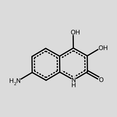 Nc1ccc2c(O)c(O)c(=O)[nH]c2c1